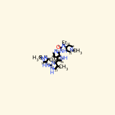 CCN(C(=O)Nc1nccc2c(C3=NC(Nc4cn(C)nc4OC)NC=C3C)c[nH]c12)C1CCN(C)CC1